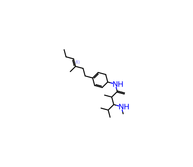 C=C(NC1C=CC(CC/C(C)=C/CC)=CC1)C(C)C(NC)C(C)C